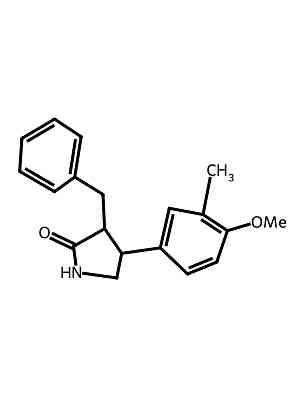 COc1ccc(C2CNC(=O)C2Cc2ccccc2)cc1C